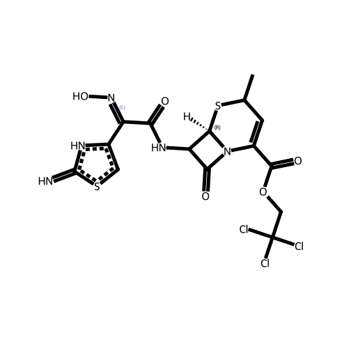 CC1C=C(C(=O)OCC(Cl)(Cl)Cl)N2C(=O)C(NC(=O)/C(=N/O)c3csc(=N)[nH]3)[C@H]2S1